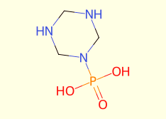 O=P(O)(O)N1CNCNC1